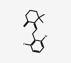 C=C1CCCC(C)(C)/C1=C/Cc1c(F)cccc1Br